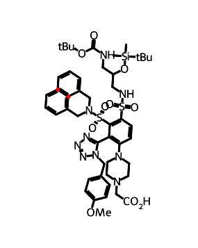 COc1ccc(Cn2nnnc2-c2c(N3CCN(CC(=O)O)CC3)ccc(S(=O)(=O)NCC(CNC(=O)OC(C)(C)C)O[Si](C)(C)C(C)(C)C)c2S(=O)(=O)N(Cc2ccccc2)Cc2ccccc2)cc1